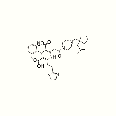 CN(C)CC1(CN2CCN(C(=O)CC3=C(C(=O)O)C(c4c(Cl)cccc4Cl)C(C(=O)O)=C(CCc4nccs4)N3)CC2)CCCC1